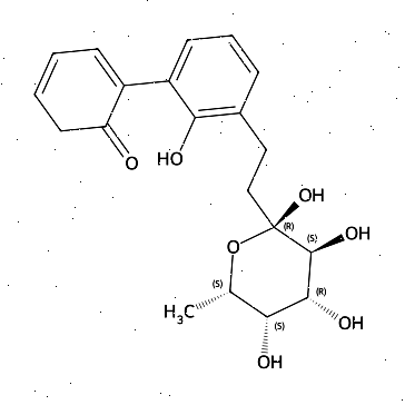 C[C@@H]1O[C@](O)(CCc2cccc(C3=CC=CCC3=O)c2O)[C@@H](O)[C@H](O)[C@@H]1O